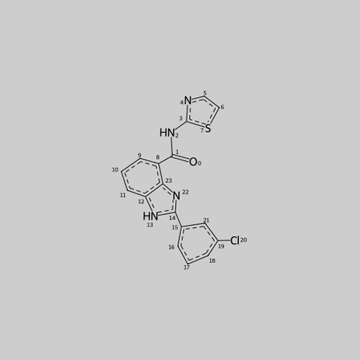 O=C(Nc1nccs1)c1cccc2[nH]c(-c3cccc(Cl)c3)nc12